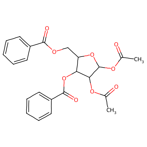 CC(=O)OC1OC(COC(=O)c2ccccc2)C(OC(=O)c2ccccc2)C1OC(C)=O